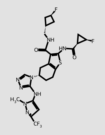 Cn1nc(C(F)(F)F)cc1Nc1nncn1[C@H]1CCc2sc(NC(=O)[C@H]3C[C@H]3F)c(C(=O)NC[C@H]3C[C@H](F)C3)c2C1